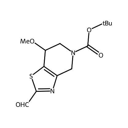 COC1CN(C(=O)OC(C)(C)C)Cc2nc(C=O)sc21